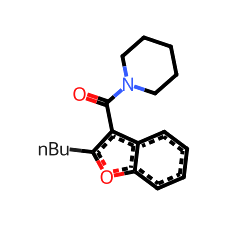 CCCCc1oc2ccccc2c1C(=O)N1CCCCC1